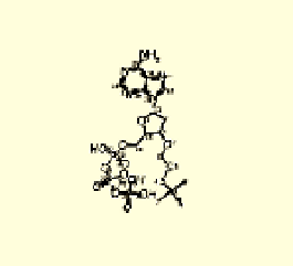 CC(C)(I)SSCOC1C[C@H](n2cnc3c(N)ncnc32)O[C@@H]1COP(=O)(O)OP(=O)(O)OP(=O)(O)O